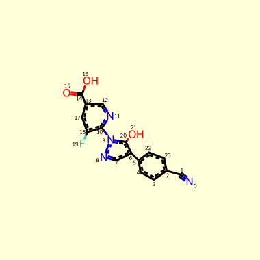 N#Cc1ccc(-c2cnn(-c3ncc(C(=O)O)cc3F)c2O)cc1